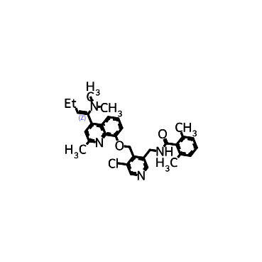 CC/C=C(/c1cc(C)nc2c(OCc3c(Cl)cncc3CNC(=O)c3c(C)cccc3C)cccc12)N(C)C